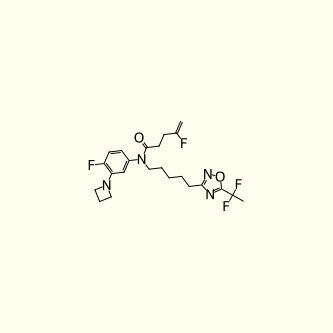 C=C(F)CCC(=O)N(CCCCCc1noc(C(C)(F)F)n1)c1ccc(F)c(N2CCC2)c1